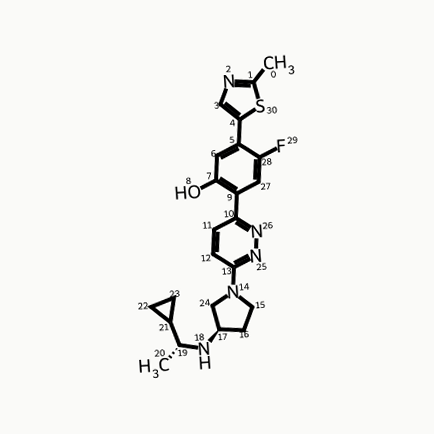 Cc1ncc(-c2cc(O)c(-c3ccc(N4CC[C@@H](N[C@H](C)C5CC5)C4)nn3)cc2F)s1